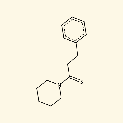 S=C(CCc1ccccc1)N1CCCCC1